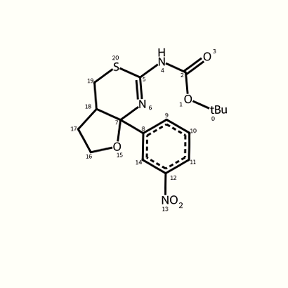 CC(C)(C)OC(=O)NC1=NC2(c3cccc([N+](=O)[O-])c3)OCCC2CS1